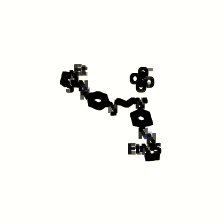 CC[n+]1ccsc1/N=N/c1ccc(N(C)CCCN(C)c2ccc(/N=N/c3scc[n+]3CC)cc2)cc1.O=S(=O)([O-])[O-]